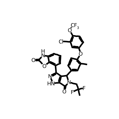 Cc1cc(C2c3c(-c4cccc5[nH]c(=O)oc45)n[nH]c3C(=O)N2CC(C)(F)F)ccc1Oc1ccc(OC(F)(F)F)c(Cl)c1